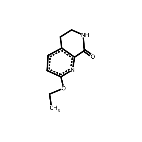 CCOc1ccc2c(n1)C(=O)NCC2